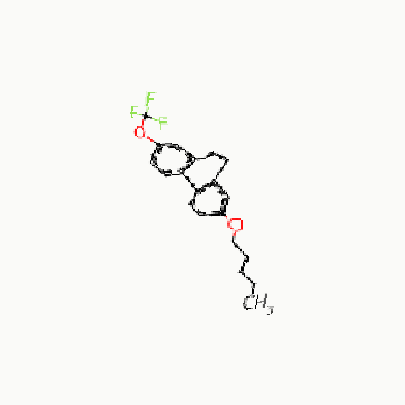 CCCCCOc1ccc2c(c1)CCc1cc(OC(F)(F)F)ccc1-2